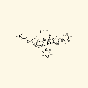 CN(C)CCOc1ccc2c(n1)oc1c(N3CCOCC3)nc(Nc3cc(-c4ccccc4)n[nH]3)nc12.Cl